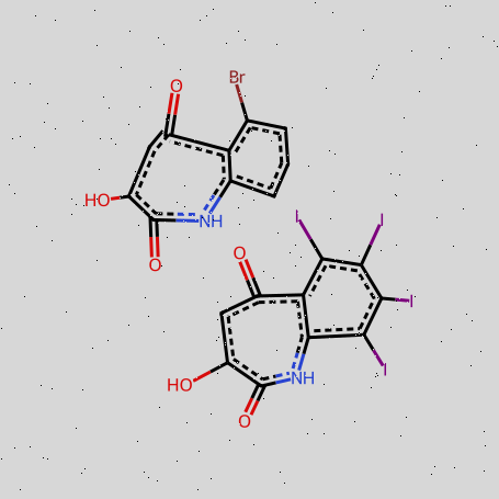 O=c1[nH]c2c(I)c(I)c(I)c(I)c2c(=O)cc1O.O=c1[nH]c2cccc(Br)c2c(=O)cc1O